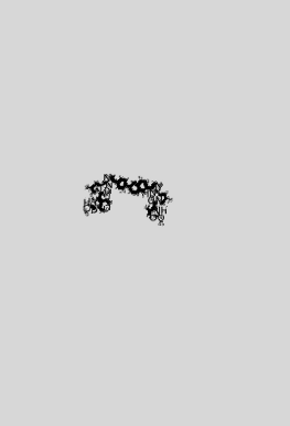 COC(=O)NC(C(=O)N1C[C@@H](C)C[C@H]1c1ncc(-c2ccc(-c3ccc4cc(-c5cnc([C@@H]6C[C@H](C)CN6C(=O)[C@@H](NC(=O)OC)C(C)C)[nH]5)ccc4c3)cc2)[nH]1)C1CCOCC1